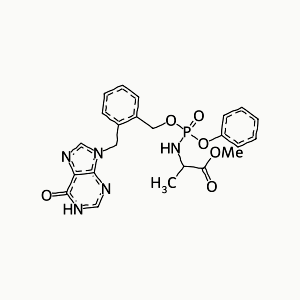 COC(=O)C(C)NP(=O)(OCc1ccccc1Cn1cnc2c(=O)[nH]cnc21)Oc1ccccc1